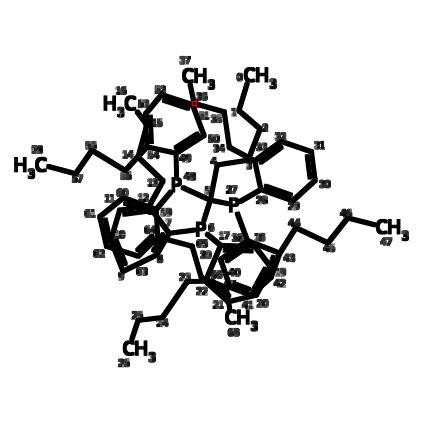 CCCCCC(P(c1ccccc1CCCC)c1ccccc1CCCC)(P(c1ccccc1CCCC)c1ccccc1CCCC)P(c1ccccc1CCCC)c1ccccc1CCCC